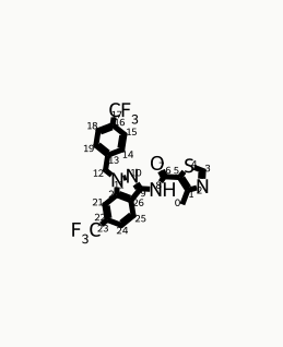 Cc1ncsc1C(=O)Nc1nn(Cc2ccc(C(F)(F)F)cc2)c2cc(C(F)(F)F)ccc12